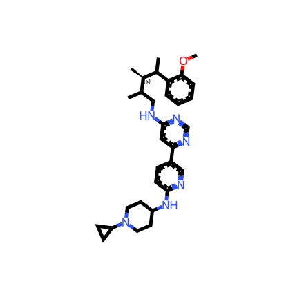 COc1ccccc1C(C)[C@H](C)C(C)CNc1cc(-c2ccc(NC3CCN(C4CC4)CC3)nc2)ncn1